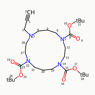 C#CCN1CCCN(C(=O)OC(C)(C)C)CCN(C(=O)OC(C)(C)C)CCCN(C(=O)OC(C)(C)C)CC1